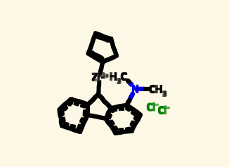 CN(C)c1cccc2c1[CH]([Zr+2][C]1=CC=CC1)c1ccccc1-2.[Cl-].[Cl-]